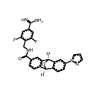 N=C(N)c1cc(F)c(CNC(=O)c2ccc3c(c2)[C@@H]2O[C@H]3c3ccc(-n4cccn4)cc32)c(F)c1